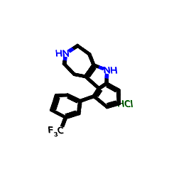 Cl.FC(F)(F)c1cccc(-c2cccc3[nH]c4c(c23)CCNCC4)c1